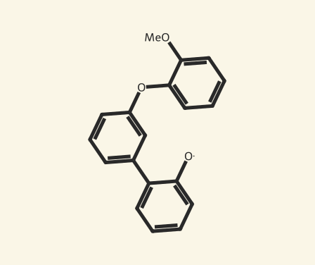 COc1ccccc1Oc1cccc(-c2ccccc2[O])c1